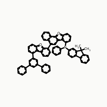 CC1(C)c2ccccc2-c2ccc(N(c3ccccc3)c3cccc4oc5c6ccccc6c(-c6cccc7c6oc6cccc(-c8cc(-c9ccccc9)cc(-c9ccccc9)c8)c67)cc5c34)cc21